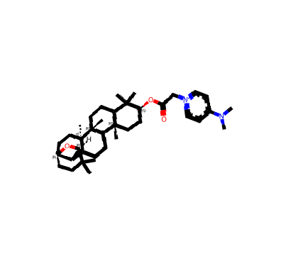 CN(C)c1cc[n+](CC(=O)O[C@H]2CC[C@@]3(C)C(CC[C@]4(C)C3CCC3C5[C@H]6O[C@@]5(CCC6(C)C)CC[C@]34C)C2(C)C)cc1